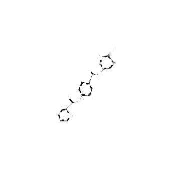 O=C(Nc1ccc(Cl)nc1)c1ccc(NC(=O)c2ccccn2)cc1